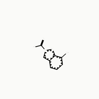 N=C(N)n1cc2cccc([N+](=O)[O-])c2n1